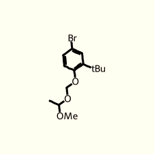 COC(C)OCOc1ccc(Br)cc1C(C)(C)C